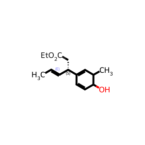 C/C=C/[C@H](CC(=O)OCC)C1=CC(C)C(O)C=C1